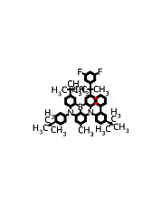 Cc1cc2c3c(c1)N(c1ccc(C(C)(C)C)cc1-c1ccccc1)c1ccc(C(C)(C)c4cc(F)cc(F)c4)cc1B3c1cc(C(C)(C)C)ccc1N2c1ccc(C(C)(C)C)cc1